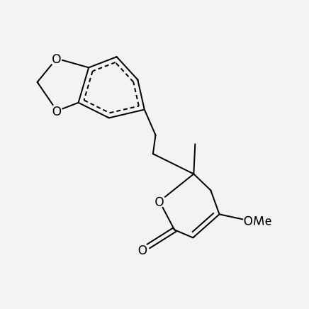 COC1=CC(=O)OC(C)(CCc2ccc3c(c2)OCO3)C1